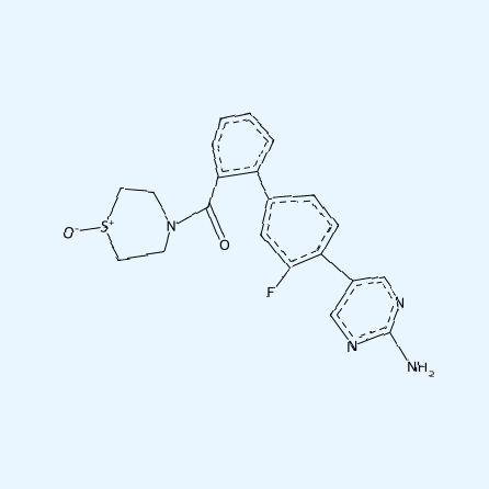 Nc1ncc(-c2ccc(-c3ccccc3C(=O)N3CC[S+]([O-])CC3)cc2F)cn1